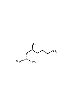 CO[SiH](OC)OC(C)CCCN